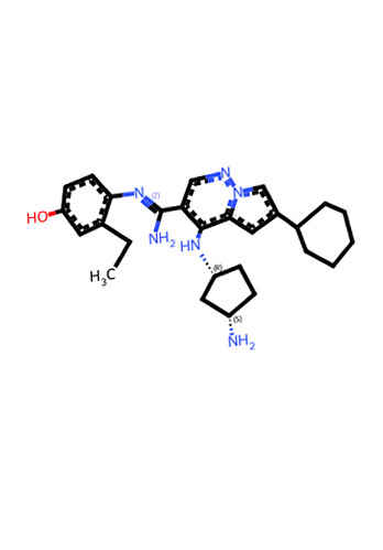 CCc1cc(O)ccc1/N=C(\N)c1cnn2cc(C3CCCCC3)cc2c1N[C@@H]1CC[C@H](N)C1